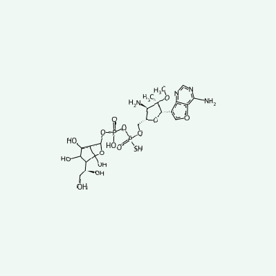 CO[C@]1(C)[C@H](N)[C@@H](COP(=O)(S)OP(=O)(O)OC2OC3(O)C2C(O)C(O)C3[C@@H](O)CO)O[C@H]1c1coc2c(N)ncnc12